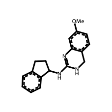 COc1ccc2c(c1)N=C(NC1CCc3ccccc31)NC2